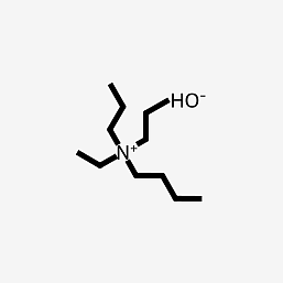 CCCC[N+](CC)(CCC)CCC.[OH-]